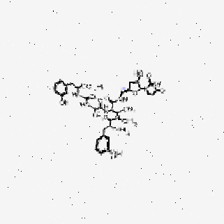 CC(NC(=O)NC(Cc1cccc(O)c1)C(=O)O)C(=O)NC(C(=O)N/C=C1/CC(O)C(n2ccc(=O)[nH]c2=O)O1)C(C)N(C)C(=O)C(N)Cc1cccc(O)c1